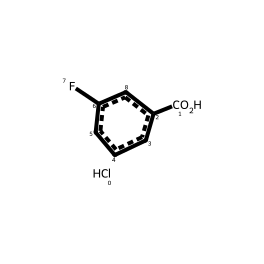 Cl.O=C(O)c1cccc(F)c1